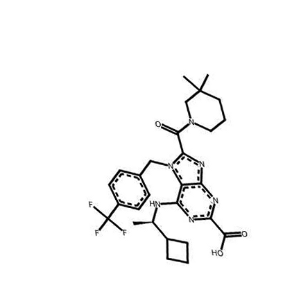 C[C@@H](Nc1nc(C(=O)O)nc2nc(C(=O)N3CCCC(C)(C)C3)n(Cc3ccc(C(F)(F)F)cc3)c12)C1CCC1